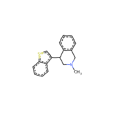 CN1Cc2ccccc2C(c2csc3ccccc23)C1